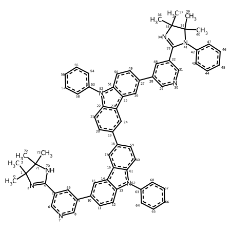 CC1(C)N=C(c2cncc(-c3ccc4c(c3)c3cc(-c5ccc6c(c5)c5cc(-c7cncc(C8=NC(C)(C)C(C)(C)N8c8ccccc8)c7)ccc5n6-c5ccccc5)ccc3n4-c3ccccc3)c2)NC1(C)C